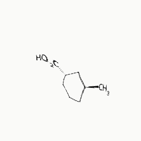 C[C@H]1CCC[C@H](C(=O)O)C1